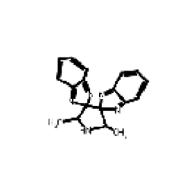 CC1NC(C)C2(N=c3ccccc3=N2)C12N=c1ccccc1=N2